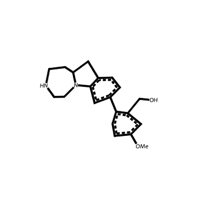 COc1ccc(-c2ccc3c(c2)N2CCNCCC2C3)c(CO)c1